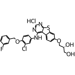 Cl.OC[C@@H](O)COc1ccc2c(c1)sc1ncnc(Nc3ccc(OCc4cccc(F)c4)c(Cl)c3)c12